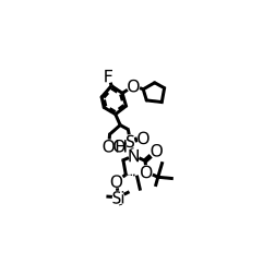 CC[C@@H](CN(C(=O)OC(C)(C)C)S(=O)(=O)CC(CO)c1ccc(F)c(OC2CCCC2)c1)O[Si](C)(C)C